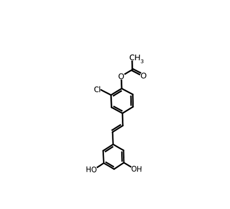 CC(=O)Oc1ccc(/C=C/c2cc(O)cc(O)c2)cc1Cl